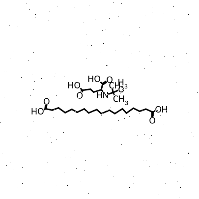 CC(C)(C)NC(CCC(=O)O)C(=O)O.O=C(O)CCCCCCCCCCCCCCCCC(=O)O